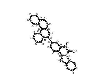 Cn1c(=O)n2c3ccccc3nc2c2ccc(-c3cc4ccc5ccccc5c4c4ccccc34)cc21